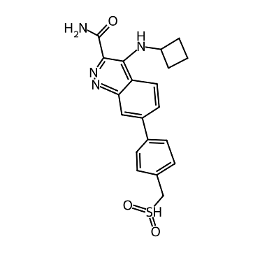 NC(=O)c1nnc2cc(-c3ccc(C[SH](=O)=O)cc3)ccc2c1NC1CCC1